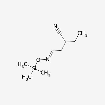 CCC(C#N)CC=NO[Si](C)(C)C